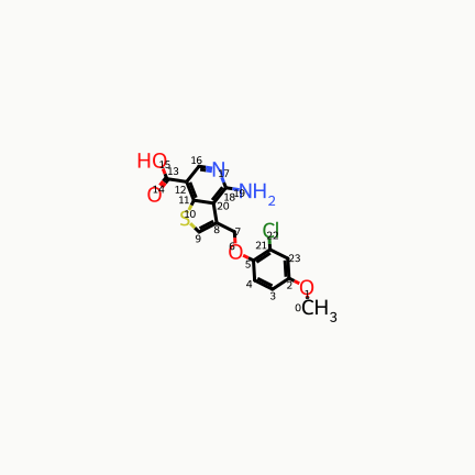 COc1ccc(OCc2csc3c(C(=O)O)cnc(N)c23)c(Cl)c1